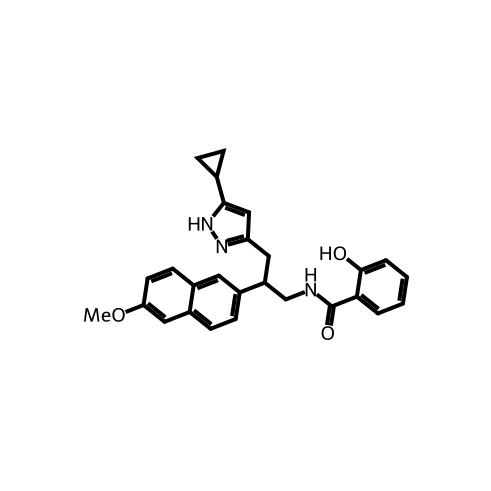 COc1ccc2cc(C(CNC(=O)c3ccccc3O)Cc3cc(C4CC4)[nH]n3)ccc2c1